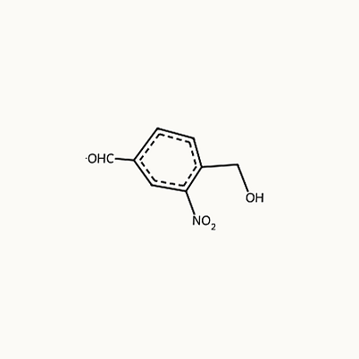 O=[C]c1ccc(CO)c([N+](=O)[O-])c1